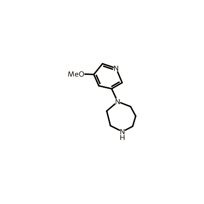 COc1cncc(N2CCCNCC2)c1